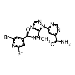 C[C@H](NC(=O)c1cc(Br)nc(Br)c1)c1ncnn1-c1cc(C(N)=O)ncn1